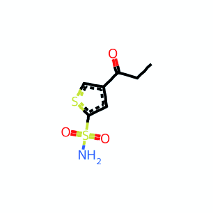 CCC(=O)c1csc(S(N)(=O)=O)c1